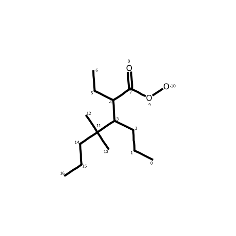 CCCC(C(CC)C(=O)O[O])C(C)(C)CCC